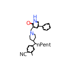 CCCCCC(c1ccc(C#N)c(C)c1)C1CCN(Cc2cc(-c3ccccc3)c[nH]c2=O)CC1